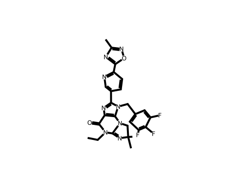 CCN1C(=O)c2nc(-c3ccc(-c4nc(C)no4)nc3)n(Cc3cc(F)c(F)c(F)c3)c2N2CC(C)(C)N=C12